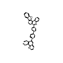 C=Cc1c(-c2ccc(-c3ccc(-c4nc5ccccc5c5c4ccc4c6ccccc6oc45)cc3)cc2)cc2cccnc2c1N=C